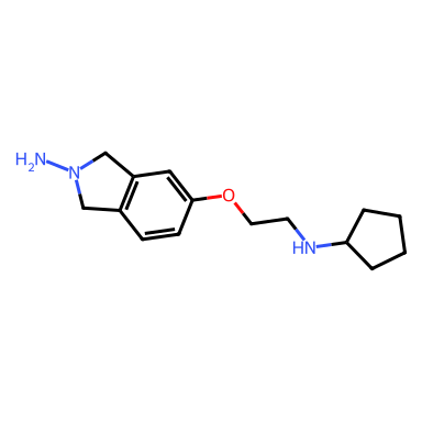 NN1Cc2ccc(OCCNC3CCCC3)cc2C1